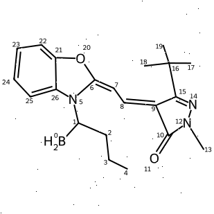 BC(CCC)N1/C(=C\C=C2\C(=O)N(C)N=C2C(C)(C)C)Oc2ccccc21